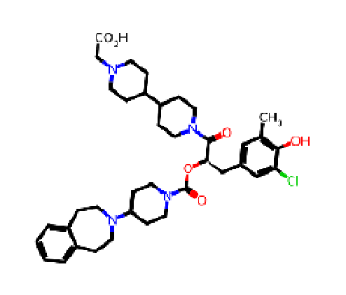 Cc1cc(C[C@@H](OC(=O)N2CCC(N3CCc4ccccc4CC3)CC2)C(=O)N2CCC(C3CCN(CC(=O)O)CC3)CC2)cc(Cl)c1O